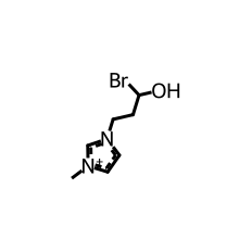 C[n+]1ccn(CCC(O)Br)c1